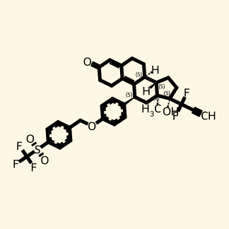 C#CC(F)(F)[C@]1(O)CC[C@H]2[C@@H]3CCC4=CC(=O)CCC4=C3[C@H](c3ccc(OCc4ccc(S(=O)(=O)C(F)(F)F)cc4)cc3)C[C@@]21C